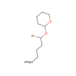 CCCCCCCCCCC(Br)OC1CCCCO1